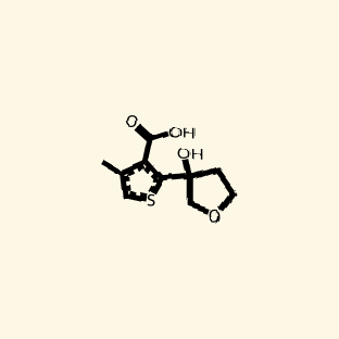 Cc1csc(C2(O)CCOC2)c1C(=O)O